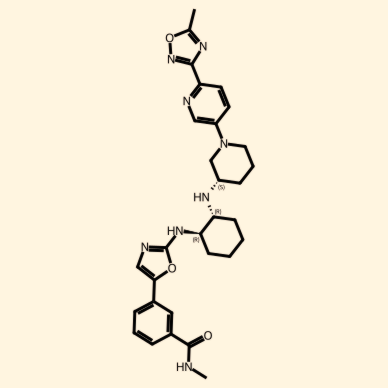 CNC(=O)c1cccc(-c2cnc(N[C@@H]3CCCC[C@H]3N[C@H]3CCCN(c4ccc(-c5noc(C)n5)nc4)C3)o2)c1